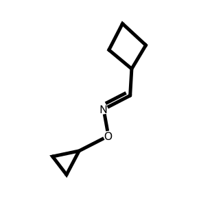 C(=N\OC1CC1)/C1CCC1